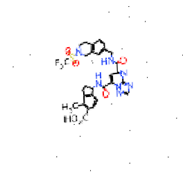 Cc1c(C(=O)O)ccc2c1CC[C@@H]2NC(=O)c1cc(C(=O)NCc2ccc3c(c2)CN(S(=O)(=O)C(F)(F)F)CC3)nc2ncnn12